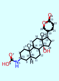 C[C@]12CC[C@H](NC(=O)O)C[C@H]1CCC1C2CC[C@]2(C)[C@@H](c3ccc(=O)oc3)CC[C@]12O